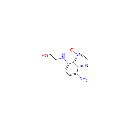 Nc1ccc(NCCO)c2c1ncc[n+]2[O-]